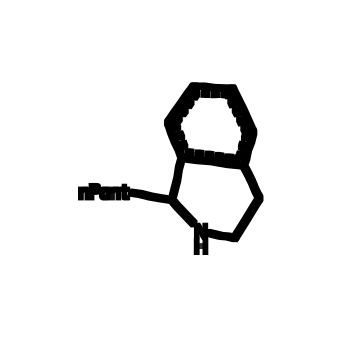 CCCCCC1NCCc2ccccc21